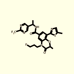 Cc1cnc(-c2cc(C(=O)NC(C)c3cnc(C(F)(F)F)nc3)cc3c2OC(C)C(=O)N3CCCF)s1